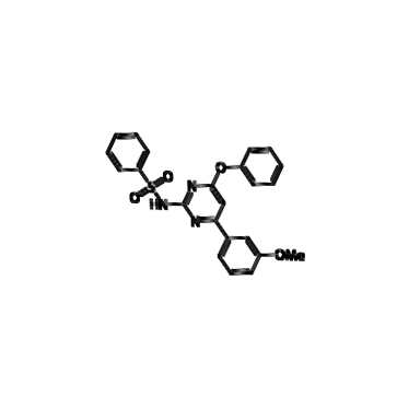 COc1cccc(-c2cc(Oc3ccccc3)nc(NS(=O)(=O)c3ccccc3)n2)c1